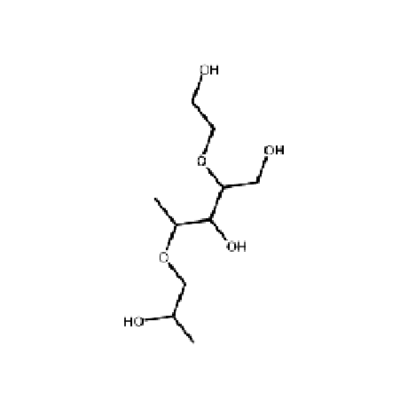 CC(O)COC(C)C(O)C(CO)OCCO